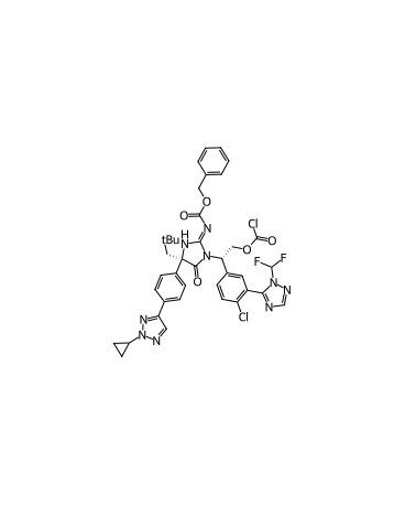 CC(C)(C)C[C@]1(c2ccc(-c3cnn(C4CC4)n3)cc2)N/C(=N\C(=O)OCc2ccccc2)N([C@H](COC(=O)Cl)c2ccc(Cl)c(-c3ncnn3C(F)F)c2)C1=O